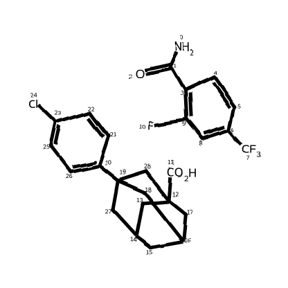 NC(=O)c1ccc(C(F)(F)F)cc1F.O=C(O)C12CC3CC(C1)CC(c1ccc(Cl)cc1)(C3)C2